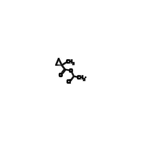 [CH2]C(Cl)OC(=O)C1(C)CC1